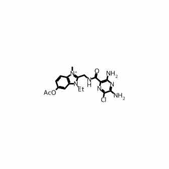 CCn1c(CNC(=O)c2nc(Cl)c(N)nc2N)[n+](C)c2ccc(OC(C)=O)cc21